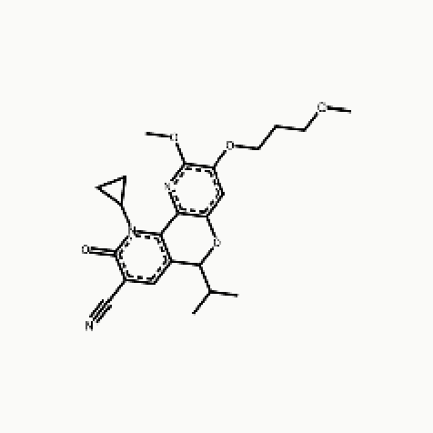 COCCCOc1cc2c(nc1OC)-c1c(cc(C#N)c(=O)n1C1CC1)C(C(C)C)O2